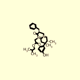 CC(C)COC(=O)CNC(=O)[C@@H](Cc1ccccc1)CN1CC[C@@](C)(c2cccc(O)c2)[C@@H](C)C1